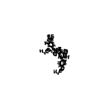 COC[C@@H](NC(=O)c1nc(-c2ccc(OC)cn2)[nH]c(=O)c1F)c1ccc(OC(F)(F)F)c(F)c1